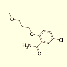 COCCCOc1ccc(Cl)cc1C(N)=O